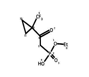 CCOP(=O)(O)CC(=O)C1(C(F)(F)F)CC1